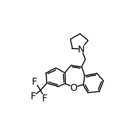 FC(F)(F)c1ccc2c(c1)Oc1ccccc1C(CN1CCCC1)=C2